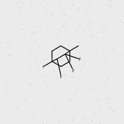 CC12CCC(I)(CC1)C(F)C2(F)F